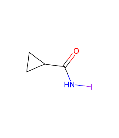 O=C(NI)C1CC1